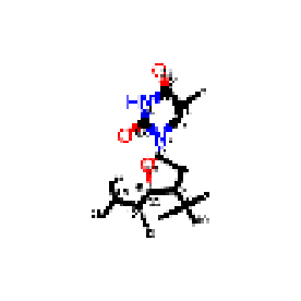 Cc1cn([C@H]2CC(C(C)(C)C)[C@@H]([C@@H](C)C(C)C)O2)c(=O)[nH]c1=O